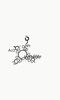 C=C1C[C@@H](C)O[C@@H](O[C@@H]2[C@@H](C)[C@H](O[C@H]3C[C@H](C)N(C)C[C@H](C)O3)[C@@H](C)C(=O)O[C@H]([C@@H](C)CO[C@@H]3O[C@H](C)[C@@H](CC(C)=O)[C@@H](OC)[C@H]3OC)[C@H](C)[C@@H](OC(=O)CC(C)C)[C@@H](C)C(=O)[C@@](C)(OC(=O)NCCc3ccncc3)C[C@@H]2C)[C@@H]1OC(C)=O